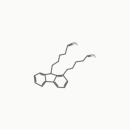 C=CCCCCc1cccc2c1C(CCCCC=C)c1ccccc1-2